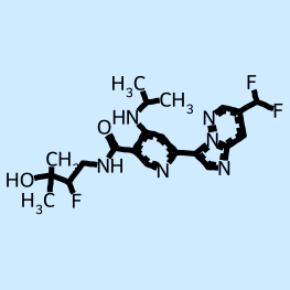 CC(C)Nc1cc(-c2cnc3cc(C(F)F)cnn23)ncc1C(=O)NCC(F)C(C)(C)O